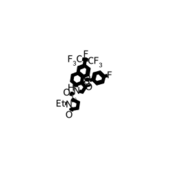 CCN1C(=O)CC[C@H]1C(=O)N1CC[C@@]2(S(=O)(=O)c3ccc(F)cc3)c3ccc(C(F)(C(F)(F)F)C(F)(F)F)cc3CC[C@@H]12